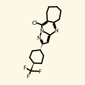 FC(F)(F)[C@H]1CC[C@H](c2cc3nc4c(c(Cl)n3n2)CCCCC4)CC1